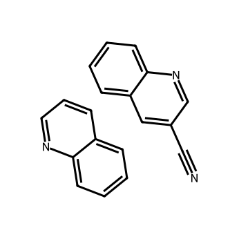 N#Cc1cnc2ccccc2c1.c1ccc2ncccc2c1